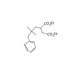 CCOC(=O)CC(CC(C)(C)Cc1ccccc1)C(=O)OCC